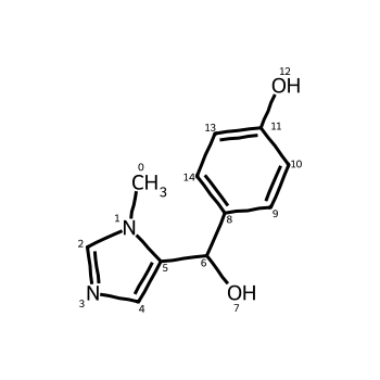 Cn1cncc1C(O)c1ccc(O)cc1